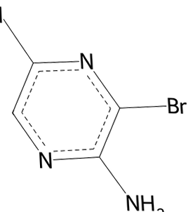 Nc1ncc(I)nc1Br